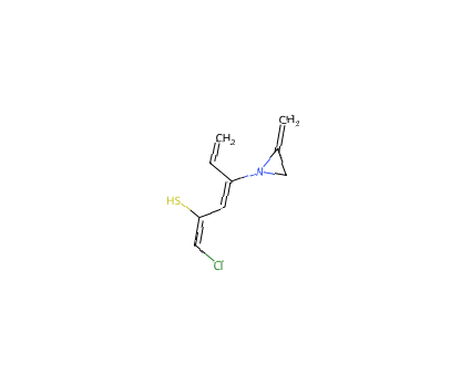 C=C/C(=C\C(S)=C/Cl)N1CC1=C